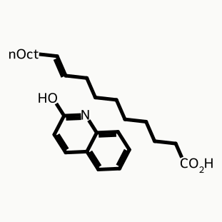 CCCCCCCC/C=C/CCCCCCCC(=O)O.Oc1ccc2ccccc2n1